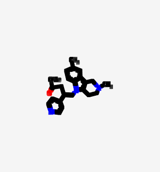 COC(=O)CC(=Cn1c2c(c3cc(C)ccc31)CN(C)CC2)c1ccncc1